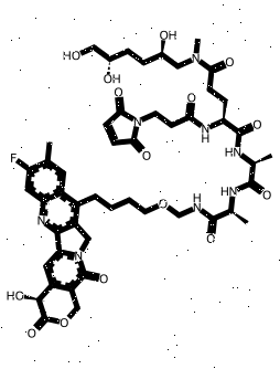 Cc1cc2c(CCCCOCNC(=O)[C@H](C)NC(=O)[C@H](C)NC(=O)[C@H](CCC(=O)N(C)C[C@H](O)CC[C@H](O)CO)NC(=O)CCN3C(=O)C=CC3=O)c3c(nc2cc1F)-c1cc2c(c(=O)n1C3)COC(=O)[C@H]2O